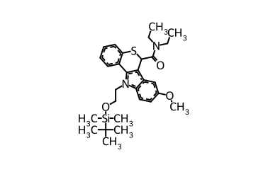 CCN(CC)C(=O)C1Sc2ccccc2-c2c1c1cc(OC)ccc1n2CCO[Si](C)(C)C(C)(C)C